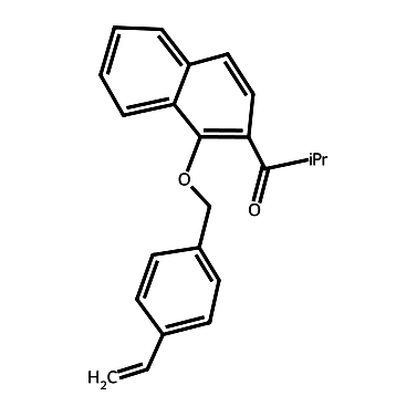 C=Cc1ccc(COc2c(C(=O)C(C)C)ccc3ccccc23)cc1